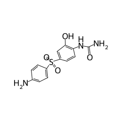 NC(=O)Nc1ccc(S(=O)(=O)c2ccc(N)cc2)cc1O